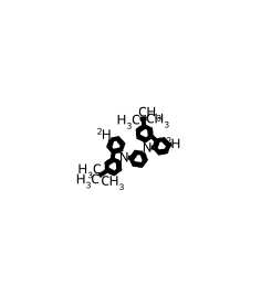 [2H]c1ccc2c(c1)c1cc(C(C)(C)C)ccc1n2-c1cccc(-n2c3ccc([2H])cc3c3cc(C(C)(C)C)ccc32)c1